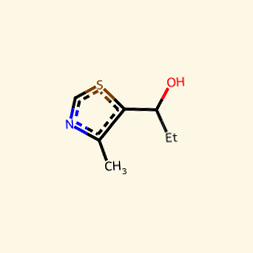 CCC(O)c1scnc1C